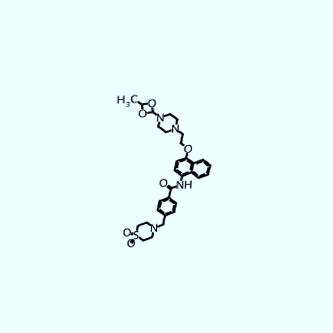 CC1OC(N2CCN(CCOc3ccc(NC(=O)c4ccc(CN5CCS(=O)(=O)CC5)cc4)c4ccccc34)CC2)O1